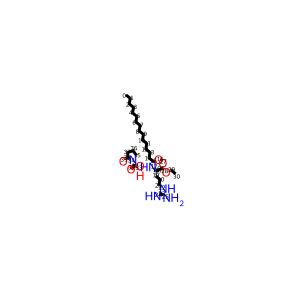 CCCCCCCCCCCCCCCC(=O)N[C@@H](CCCNC(=N)N)C(=O)OCC.O=C(O)N1CCCC1=O